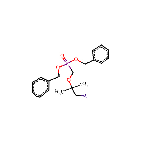 CC(C)(CI)OCP(=O)(OCc1ccccc1)OCc1ccccc1